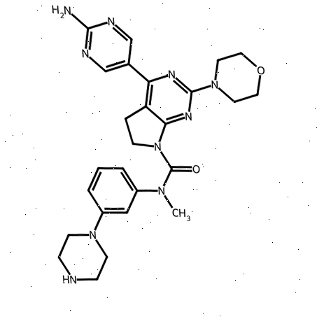 CN(C(=O)N1CCc2c(-c3cnc(N)nc3)nc(N3CCOCC3)nc21)c1cccc(N2CCNCC2)c1